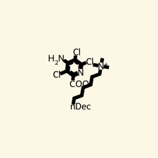 CCCCCCCCCCCCCCCC[N+](C)(C)C.Nc1c(Cl)c(Cl)nc(C(=O)[O-])c1Cl